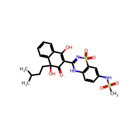 CC(C)CCC1(O)C(=O)C(C2=NS(=O)(=O)c3cc(NS(C)(=O)=O)ccc3N2)=C(O)c2ccccc21